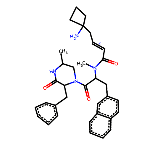 CC1CN(C(=O)C(Cc2ccc3ccccc3c2)N(C)C(=O)/C=C/CC2(N)CCC2)C(Cc2ccccc2)C(=O)N1